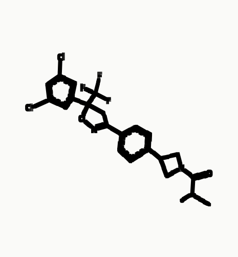 CC(C)C(=O)N1CC(c2ccc(C3=NOC(c4cc(Cl)cc(Cl)c4)(C(F)(F)F)C3)cc2)C1